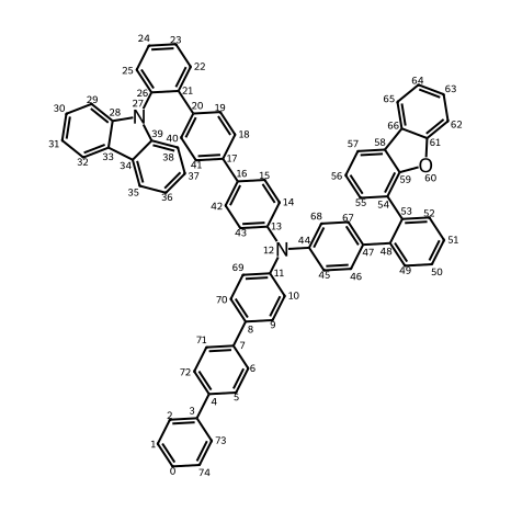 c1ccc(-c2ccc(-c3ccc(N(c4ccc(-c5ccc(-c6ccccc6-n6c7ccccc7c7ccccc76)cc5)cc4)c4ccc(-c5ccccc5-c5cccc6c5oc5ccccc56)cc4)cc3)cc2)cc1